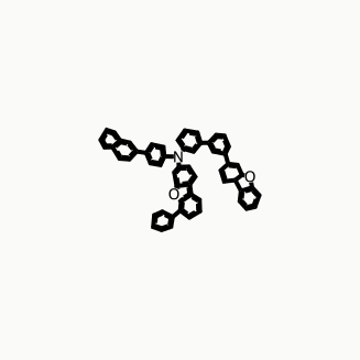 C1=CC2c3ccccc3OC2C=C1c1cccc(-c2cccc(N(c3ccc(-c4ccc5ccccc5c4)cc3)c3ccc4c(c3)oc3c(-c5ccccc5)cccc34)c2)c1